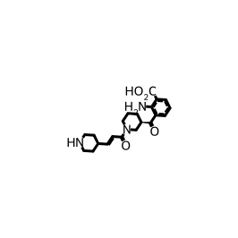 Nc1c(C(=O)O)cccc1C(=O)[C@@H]1CCCN(C(=O)/C=C/C2CCNCC2)C1